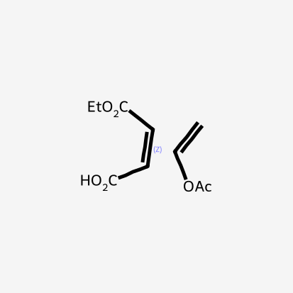 C=COC(C)=O.CCOC(=O)/C=C\C(=O)O